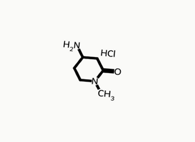 CN1CCC(N)CC1=O.Cl